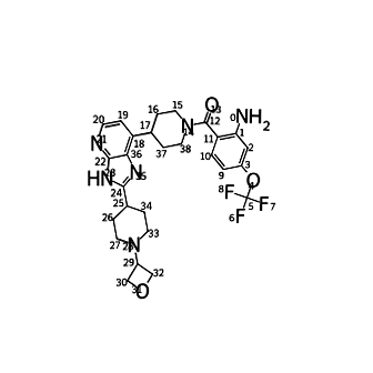 Nc1cc(OC(F)(F)F)ccc1C(=O)N1CCC(c2ccnc3[nH]c(C4CCN(C5COC5)CC4)nc23)CC1